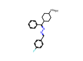 CCCCCCCC1CCC(C(=NN=Cc2ccc(F)cc2)c2ccccc2)CC1